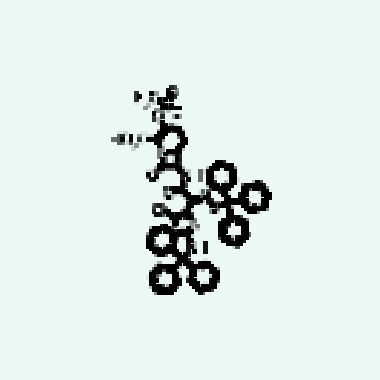 O=C(O)C1=C(OS(=O)(=O)C(F)(F)F)CCC2C(NC(=O)C(=NOC(c3ccccc3)(c3ccccc3)c3ccccc3)c3nc(NC(c4ccccc4)(c4ccccc4)c4ccccc4)sc3Cl)C(=O)N12